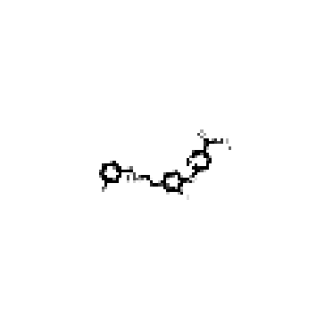 NC(=O)c1ccc(Oc2ccc(CCNCc3cccc(F)c3)cc2Cl)nc1